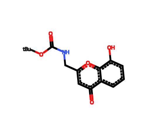 CC(C)(C)OC(=O)NCc1cc(=O)c2cccc(O)c2o1